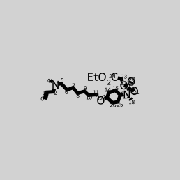 C=CCN(C)CCCCCCCOC1CCC(N(C)S(=O)(=O)OCC(=O)OCC)CC1